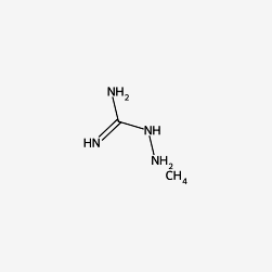 C.N=C(N)NN